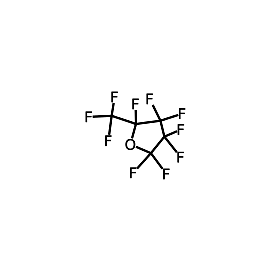 FC(F)(F)C1(F)OC(F)(F)C(F)(F)C1(F)F